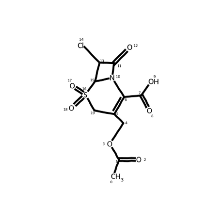 CC(=O)OCC1=C(C(=O)O)N2C(=O)C(Cl)C2S(=O)(=O)C1